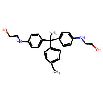 Cc1ccc(C(C)(c2ccc(NCCO)cc2)c2ccc(NCCO)cc2)cc1